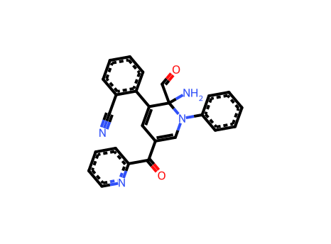 N#Cc1ccccc1C1=CC(C(=O)c2ccccn2)=CN(c2ccccc2)C1(N)C=O